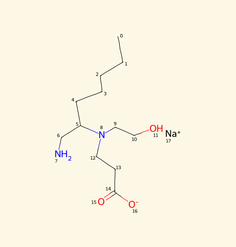 CCCCCC(CN)N(CCO)CCC(=O)[O-].[Na+]